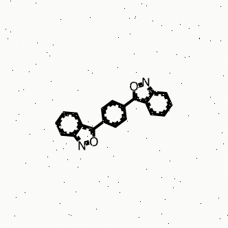 c1ccc2c(-c3ccc(-c4onc5ccccc45)cc3)onc2c1